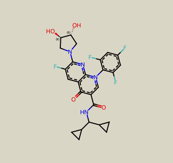 O=C(NC(C1CC1)C1CC1)c1cn(-c2c(F)cc(F)cc2F)c2nc(N3C[C@@H](O)[C@H](O)C3)c(F)cc2c1=O